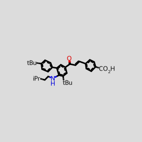 CC(C)CCNc1c(-c2ccc(C(C)(C)C)cc2)cc(C(=O)C=Cc2ccc(C(=O)O)cc2)cc1C(C)(C)C